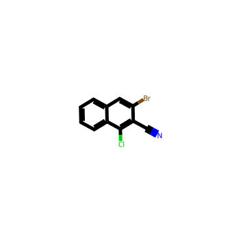 N#Cc1c(Br)cc2ccccc2c1Cl